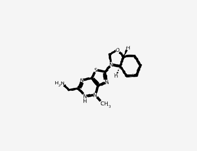 CN1NC(CN)=Nc2sc(N3CO[C@@H]4CCCC[C@H]43)nc21